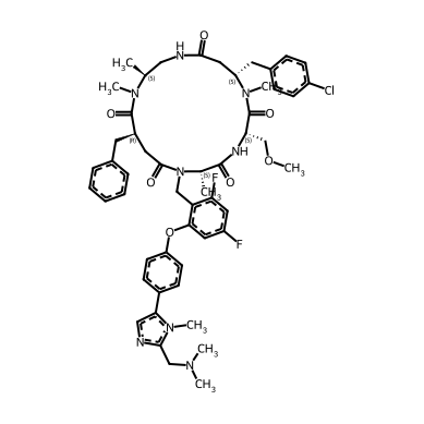 COC[C@@H]1NC(=O)[C@H](C)N(Cc2c(F)cc(F)cc2Oc2ccc(-c3cnc(CN(C)C)n3C)cc2)C(=O)C[C@@H](Cc2ccccc2)C(=O)N(C)[C@@H](C)CNC(=O)C[C@H](Cc2ccc(Cl)cc2)N(C)C1=O